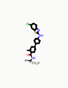 Cc1cc(-c2ccc(Nc3nc4ccc(Cl)cc4s3)cc2)ccc1C(=O)N[C@H](C(=O)O)C(C)C